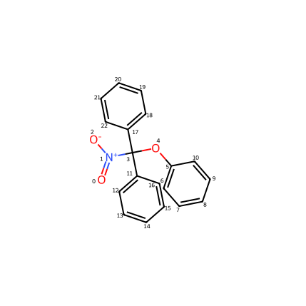 O=[N+]([O-])C(Oc1ccccc1)(c1ccccc1)c1ccccc1